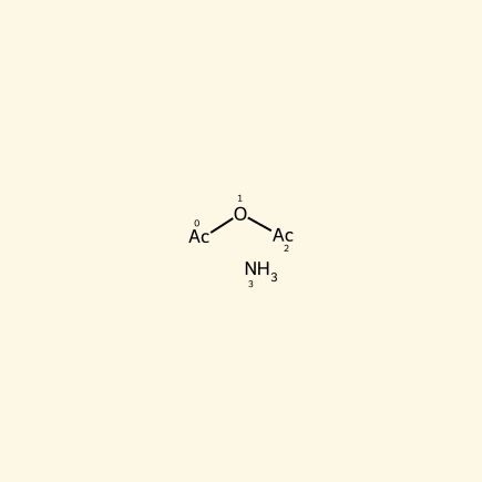 CC(=O)OC(C)=O.N